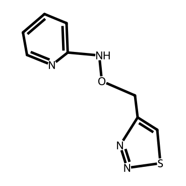 c1ccc(NOCc2csnn2)nc1